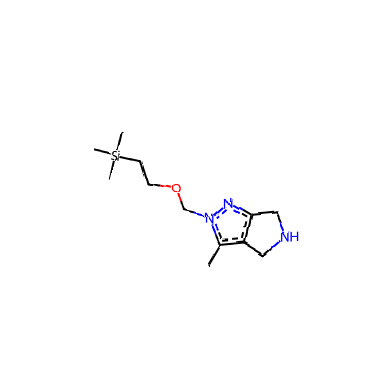 Cc1c2c(nn1COCC[Si](C)(C)C)CNC2